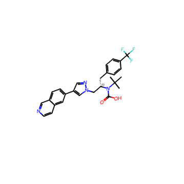 CC(C)(C)N(C(=O)O)[C@@H](Cc1ccc(C(F)(F)F)cc1)Cn1cc(-c2ccc3cnccc3c2)cn1